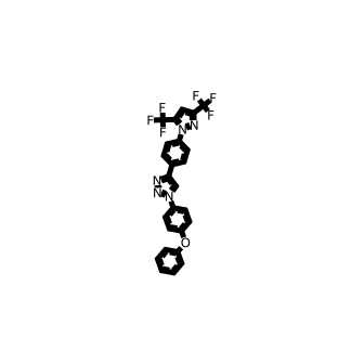 FC(F)(F)c1cc(C(F)(F)F)n(-c2ccc(-c3cn(-c4ccc(Oc5ccccc5)cc4)nn3)cc2)n1